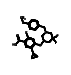 COc1ccc(CN2C[C@H](Oc3cc(F)c(C(=O)O)cc3C3CC3)CC(F)(F)C2)cc1